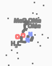 CO[Si](CCCOC(=O)C(C)Cn1ccnc1)(OC)OC